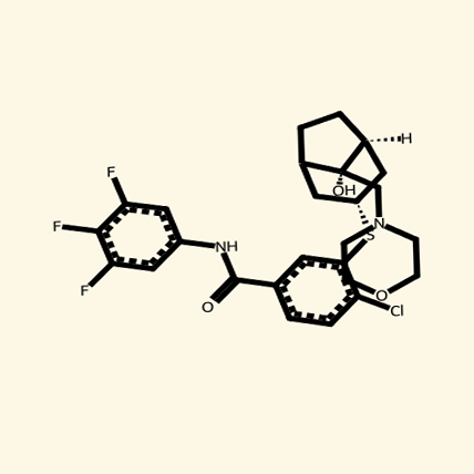 O=C(Nc1cc(F)c(F)c(F)c1)c1ccc(Cl)c(S[C@@H]2CC3CC[C@@H](C2)[C@@]3(O)CN2CCOCC2)c1